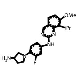 COc1ccc2cnc(Nc3ccc(N4CCC(N)C4)c(F)c3)nc2c1C(C)C